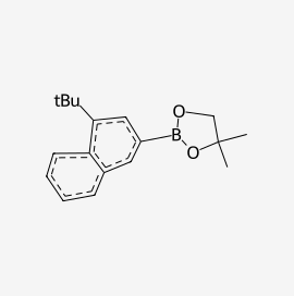 CC1(C)COB(c2cc(C(C)(C)C)c3ccccc3c2)O1